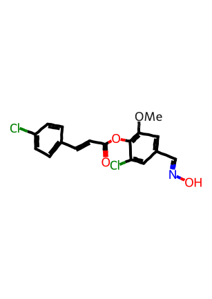 COc1cc(/C=N/O)cc(Cl)c1OC(=O)C=Cc1ccc(Cl)cc1